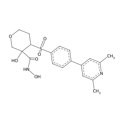 Cc1cc(-c2ccc(S(=O)(=O)C3CCOCC3(O)C(=O)NO)cc2)cc(C)n1